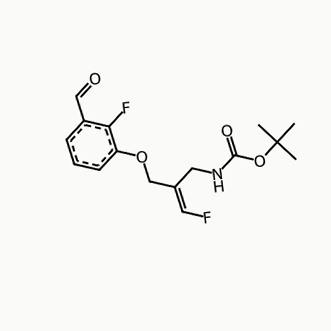 CC(C)(C)OC(=O)NC/C(=C\F)COc1cccc(C=O)c1F